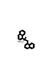 CC(Cc1cccc2ccccc12)(C(=O)O)c1cccc2ccccc12